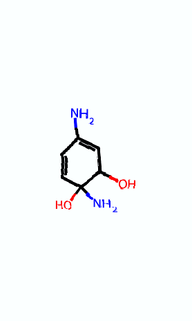 NC1=CC(O)C(N)(O)C=C1